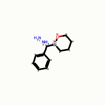 N.N.c1ccc(C[SiH]2CCCCO2)cc1